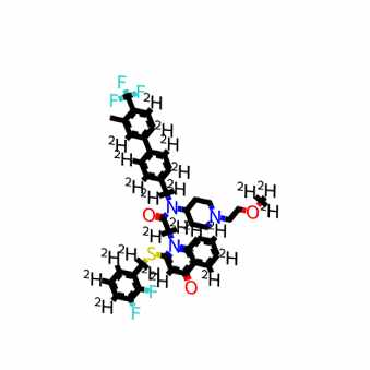 [2H]c1c([2H])c(F)c(F)c(C([2H])([2H])Sc2c([2H])c(=O)c3c([2H])c([2H])c([2H])c([2H])c3n2C([2H])([2H])C(=O)N(C2CCN(CCOC([2H])([2H])[2H])CC2)C([2H])([2H])c2c([2H])c([2H])c(-c3c([2H])c([2H])c(C(F)(F)F)c(C)c3[2H])c([2H])c2[2H])c1[2H]